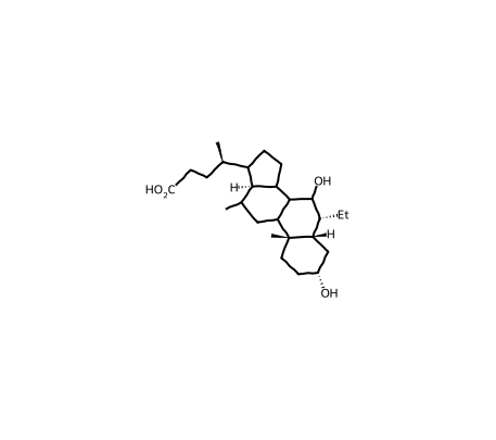 CC[C@H]1C(O)C2C3CCC([C@H](C)CCC(=O)O)[C@@H]3C(C)CC2[C@@]2(C)CC[C@@H](O)C[C@@H]12